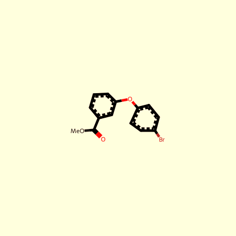 COC(=O)c1cccc(Oc2ccc(Br)cc2)c1